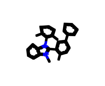 Cc1ccc(-c2ccccc2)cc1-c1n(-c2c(C)cccc2C)c2ccccc2[n+]1C